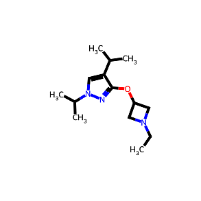 CCN1CC(Oc2nn(C(C)C)cc2C(C)C)C1